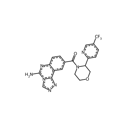 Nc1nc2ccc(C(=O)N3CCOCC3c3ccc(C(F)(F)F)cn3)cc2c2nncn12